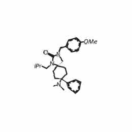 COc1ccc(CN2C[C@]3(CC[C@](c4ccccc4)(N(C)C)CC3)N(CC(C)C)C2=O)cc1